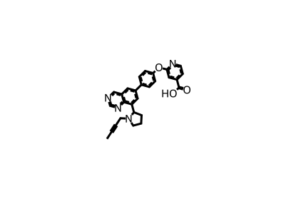 CC#CCN1CCCC1c1cc(-c2ccc(Oc3cc(C(=O)O)ccn3)cc2)cc2cncnc12